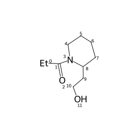 CCC(=O)N1CCCCC1CCO